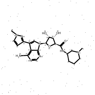 CN1CCC[C@@H](NC(=O)[C@H]2O[C@@H](n3cc(-c4ccn(C)n4)c4c(N)ncnc43)[C@H](O)[C@@H]2O)C1